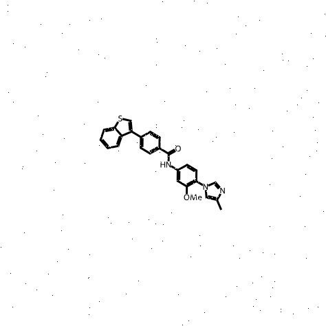 COc1cc(NC(=O)c2ccc(-c3csc4ccccc34)cc2)ccc1-n1cnc(C)c1